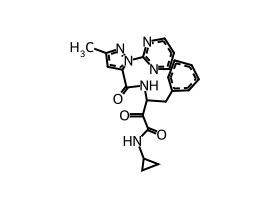 Cc1cc(C(=O)NC(Cc2ccccc2)C(=O)C(=O)NC2CC2)n(-c2ncccn2)n1